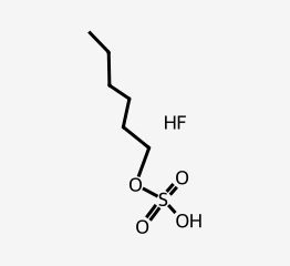 CCCCCCOS(=O)(=O)O.F